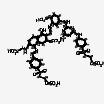 O=S(=O)(O)CNc1ccc2c(O)c(/N=N/c3cc(Nc4nc(F)nc(Nc5ccc(S(=O)(=O)CCOS(=O)(=O)O)cc5)n4)ccc3S(=O)(=O)O)c(S(=O)(=O)O)cc2c1/N=N/c1ccc(S(=O)(=O)CCOS(=O)(=O)O)cc1